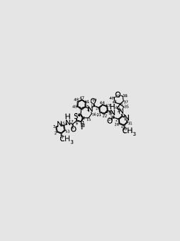 Cc1ccnc(NC(=O)c2sc3c(c2F)CCN(C(=O)c2ccc(NC(=O)c4cc(C)cnc4N4CC5(CCOCC5)C4)cc2)c2ccccc2-3)c1